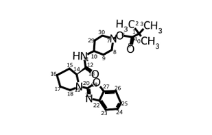 CC(C)(C)C(=O)ON1CCC(NC(=O)[C@@H]2CCCCN2c2nc3ccccc3o2)CC1